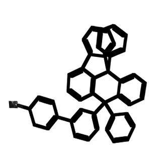 N#CC1C=CC(c2cccc(C3(c4ccccc4)c4ccccc4C4(c5ccccc5)c5ccccc5-c5cccc3c54)c2)=CC1